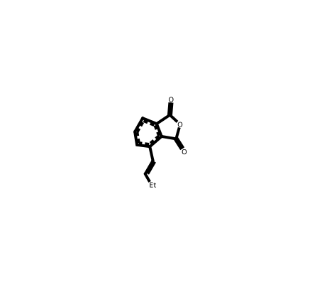 CCC=Cc1cccc2c1C(=O)OC2=O